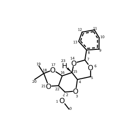 CO[C@H]1OC2COC(c3ccccc3)O[C@H]2C2OC(C)(C)OC21